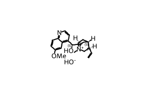 C=C[C@H]1C[N+]2(C)CC[C@H]1C[C@@H]2[C@@H](O)c1ccnc2ccc(OC)cc12.[OH-]